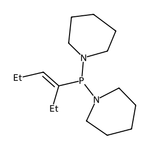 CCC=C(CC)P(N1CCCCC1)N1CCCCC1